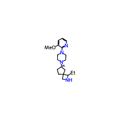 CCC1NCC12CC[C@@H](N1CCN(c3ncccc3OC)CC1)C2